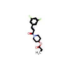 C=CC(=O)OC1CCN(C(=O)/C=C/c2cc(F)cc(F)c2)CC1